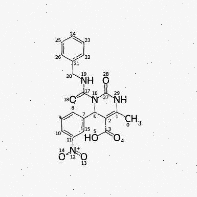 CC1=C(C(=O)O)C(c2cccc([N+](=O)[O-])c2)N(C(=O)NCc2ccccc2)C(=O)N1